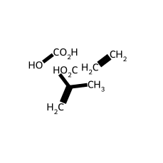 C=C.C=C(C)C(=O)O.O=C(O)O